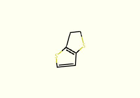 c1cc2c(s1)CCS2